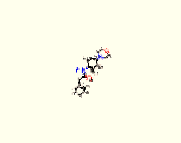 Cc1cc(N2CCOCC2)cc(C)c1NC(=O)CC1CC2CCC1C2